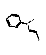 [O-][S+](/C=C/F)c1ccccc1